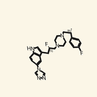 C[C@@H](CN1CCN(C[C@@H](F)Cc2c[nH]c3ccc(-n4cnnc4)cc23)CC1)c1ccc(F)cc1